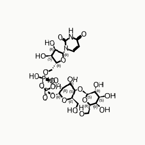 O=c1ccn([C@@H]2O[C@H](COP(=O)(O)OP(=O)(O)O[C@H]3O[C@H](CO)[C@@H](O[C@@H]4O[C@H](CO)[C@H](O)[C@H](O)[C@H]4O)[C@H](O)[C@H]3O)[C@@H](O)[C@H]2O)c(=O)[nH]1